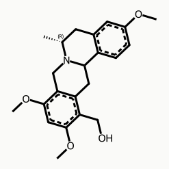 COc1ccc2c(c1)C[C@@H](C)N1Cc3c(OC)cc(OC)c(CO)c3CC21